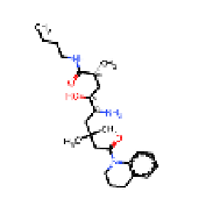 CCCCNC(=O)[C@H](C)C[C@H](O)[C@@H](N)CC(C)(C)CC(=O)N1CCCc2ccccc21